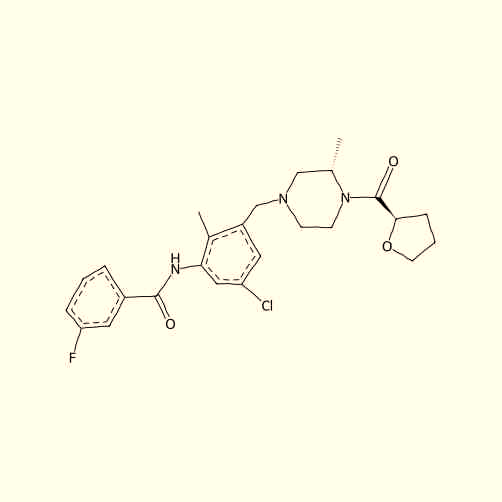 Cc1c(CN2CCN(C(=O)[C@H]3CCCO3)[C@@H](C)C2)cc(Cl)cc1NC(=O)c1cccc(F)c1